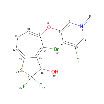 C=N/C=C(\C=C(/C)F)OC1=CCC=C2SC(F)(F)C(O)C2=C1Br